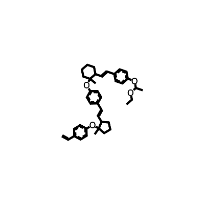 C=Cc1ccc(OC2(C)CCCC2/C=C/c2ccc(OC3(C)CCCCC3/C=C/c3ccc(OC(C)OCC)cc3)cc2)cc1